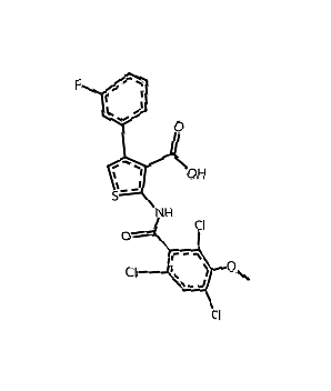 COc1c(Cl)cc(Cl)c(C(=O)Nc2scc(-c3cccc(F)c3)c2C(=O)O)c1Cl